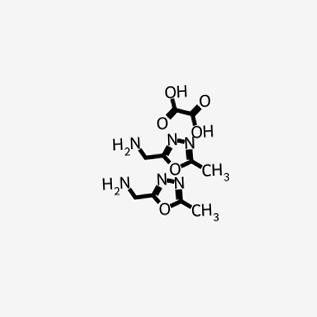 Cc1nnc(CN)o1.Cc1nnc(CN)o1.O=C(O)C(=O)O